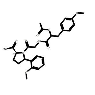 COc1ccc(CC(SC(C)=O)C(=O)NCC(=O)N2C(c3ccccc3OC)CC[C@H]2C(=O)O)cc1